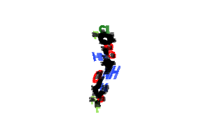 O=C(COc1ccc(Cl)c(F)c1)NC12CC(NC(=O)c3ccc(OC(F)F)cn3)(C1)C2